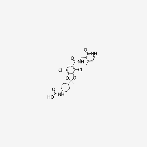 Cc1cc(C)c(CNC(=O)c2cc(Cl)c3c(c2Cl)OC(C)([C@H]2CC[C@H](NC(=O)O)CC2)O3)c(=O)[nH]1